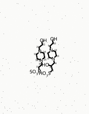 O=S(=O)(O)CC(O)CN1CCN(CCO)CC1.O=S(=O)(O)CCN1CCN(CCO)CC1